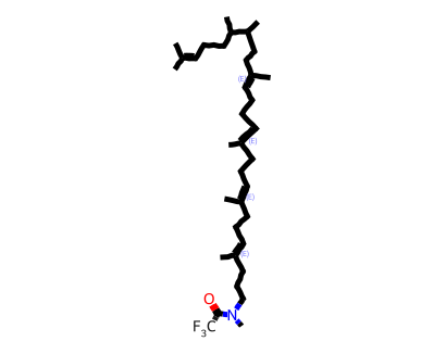 CC(C)=CCCC(C)C(C)CC/C(C)=C/CC/C=C(\C)CC/C=C(\C)CC/C=C(\C)CCCN(C)C(=O)C(F)(F)F